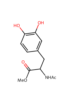 COC(=O)C(Cc1ccc(O)c(O)c1)NC(C)=O